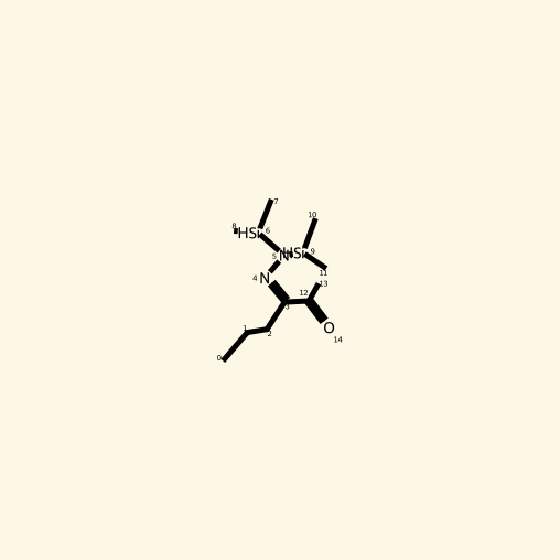 CCCC(=NN([SiH](C)C)[SiH](C)C)C(C)=O